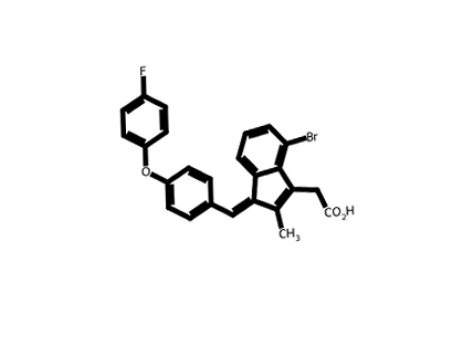 CC1=C(CC(=O)O)c2c(Br)cccc2/C1=C\c1ccc(Oc2ccc(F)cc2)cc1